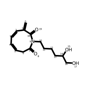 C=C1/C=C\C=C/CC(=O)N(CCCCC(O)CO)C1=O